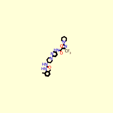 Cc1cccc(C)c1NC(=O)NC1CCN(c2ccc(NC(=O)c3oc(N4CCCCC4)nc3C(F)(F)F)cn2)CC1